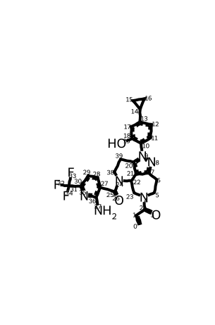 C=CC(=O)N1CCc2nn(-c3ccc(C4CC4)cc3O)c3c2C(C1)N(C(=O)c1ccc(C(F)(F)F)nc1N)CC3